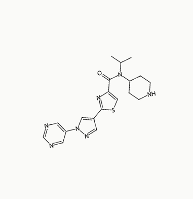 CC(C)N(C(=O)c1csc(-c2cnn(-c3cncnc3)c2)n1)C1CCNCC1